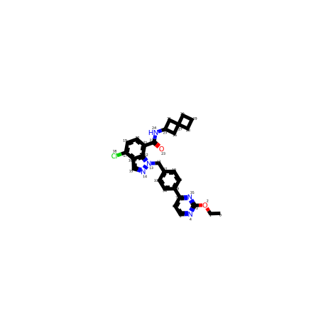 CCOc1nccc(-c2ccc(Cn3ncc4c(Cl)ccc(C(=O)NC5CC6(CCC6)C5)c43)cc2)n1